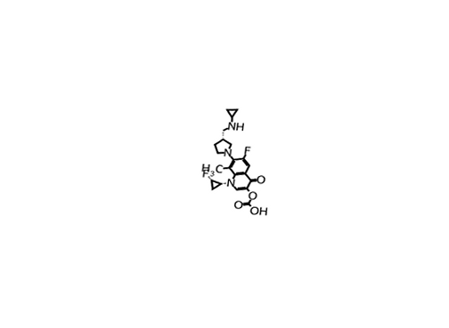 Cc1c(N2CC[C@H](CNC3CC3)C2)c(F)cc2c(=O)c(OC(=O)O)cn([C@@H]3C[C@@H]3F)c12